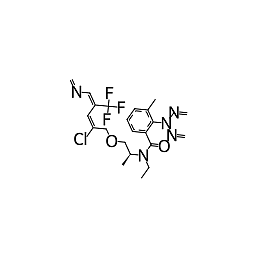 C=N/C=C(\C=C(\Cl)COC[C@H](C)N(CC)C(=O)c1cccc(C)c1N(N=C)N=C)C(F)(F)F